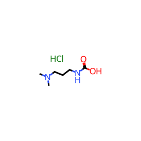 CN(C)CCCNC(=O)O.Cl